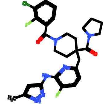 Cc1cc(Nc2nc(CC3(C(=O)N4CCCC4)CCN(C(=O)c4cccc(Cl)c4F)CC3)ccc2F)n[nH]1